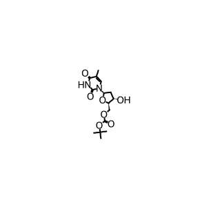 Cc1cn([C@H]2C[C@H](O)[C@@H](COC(=O)OC(C)(C)C)O2)c(=O)[nH]c1=O